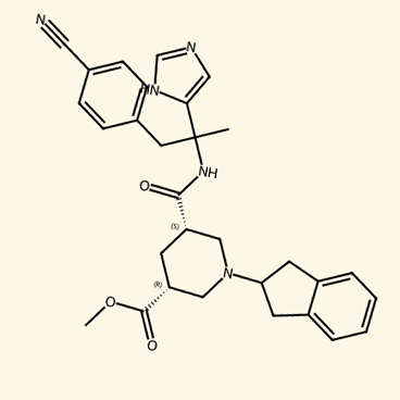 COC(=O)[C@@H]1C[C@H](C(=O)NC(C)(Cc2ccc(C#N)cc2)c2cnc[nH]2)CN(C2Cc3ccccc3C2)C1